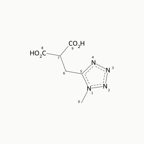 Cn1nnnc1CC(C(=O)O)C(=O)O